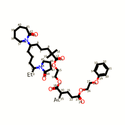 CCC(CCCC(CCCC(C)(C)C(=O)OCCOC(=O)C(CCC(=O)OCCOc1ccccc1)C(C)=O)N1CCCCCC1=O)N1CCCC1=O